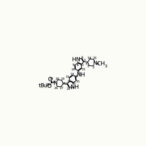 CN1CCC(c2c[nH]c3ccc(Nc4ccc5c(C6CCN(C(=O)OC(C)(C)C)CC6)c[nH]c5c4)cc23)CC1